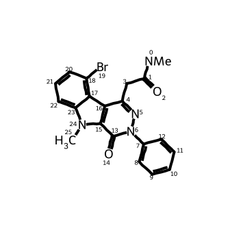 CNC(=O)Cc1nn(-c2ccccc2)c(=O)c2c1c1c(Br)cccc1n2C